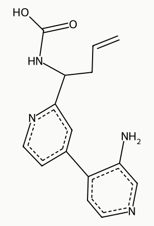 C=CCC(NC(=O)O)c1cc(-c2ccncc2N)ccn1